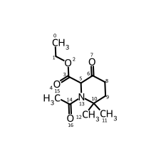 CCOC(=O)C1C(=O)CCC(C)(C)N1C(C)=O